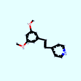 COc1cc(C=Cc2ccncc2)cc(OC)c1